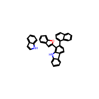 c1ccc2[nH]ccc2c1.c1ccc2oc(-c3c(-c4cccc5ccccc45)ccc4c3[nH]c3ccccc34)cc2c1